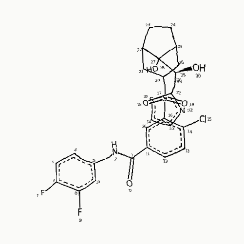 O=C(Nc1ccc(F)c(F)c1)c1ccc(Cl)c(S(=O)(=O)C2CC3CCC(C2)C3(O)[C@@H](O)c2nccs2)c1